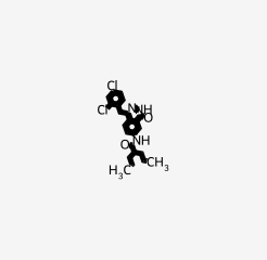 CCCC(CCC)C(=O)Nc1ccc2c(Cc3ccc(Cl)cc3Cl)n[nH]c(=O)c2c1